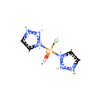 O=P(Cl)(n1ccnn1)n1ccnn1